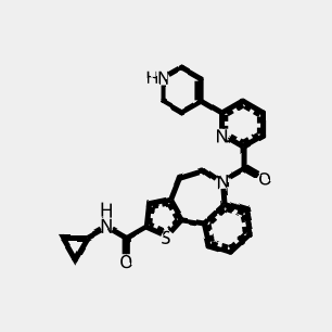 O=C(NC1CC1)c1cc2c(s1)-c1ccccc1N(C(=O)c1cccc(C3=CCNCC3)n1)CC2